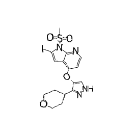 CS(=O)(=O)n1c(I)cc2c(Oc3c[nH]nc3C3CCOCC3)ccnc21